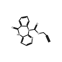 C#CCOC(=O)N1c2ccccc2C(=O)Nc2cccnc21